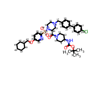 CC(C)(C)OC(=O)NC1CCN(C(=O)[C@@H]2CN(Cc3ccc(-c4ccc(Cl)cc4)cc3)CCN2S(=O)(=O)c2ccc(OCC3CCCCC3)cn2)CC1